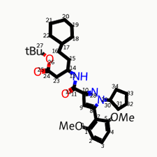 COc1cccc(OC)c1-c1cc(C(=O)NC(CCC2CCCCC2)CC(=O)OC(C)(C)C)nn1C1CCCC1